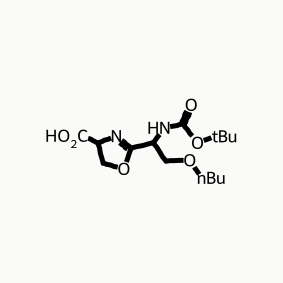 CCCCOCC(NC(=O)OC(C)(C)C)C1=NC(C(=O)O)CO1